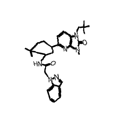 Cn1c(=O)n(CC(C)(C)C)c2ccc(C3CCC(C)(C)C(NC(=O)Cn4ncc5ccccc54)C3)nc21